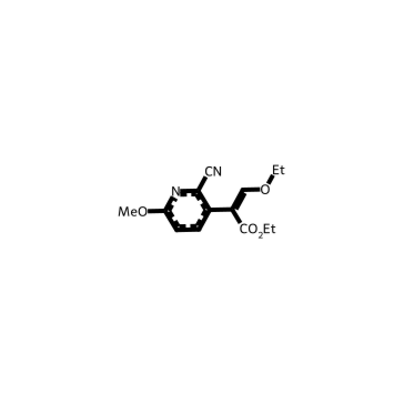 CCOC=C(C(=O)OCC)c1ccc(OC)nc1C#N